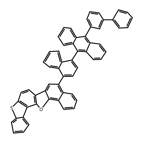 c1ccc(-c2cccc(-c3c4ccccc4c(-c4ccc(-c5cc6c7ccc8sc9ccccc9c8c7oc6c6ccccc56)c5ccccc45)c4ccccc34)c2)cc1